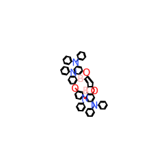 C1=C2Oc3cc(N(c4ccccc4)c4ccccc4)cc4c3B3C2=CC2B5c6c(cccc6N(c6ccccc6)c6cc(N(c7ccccc7)c7ccccc7)cc(c65)OC12)Oc1cccc(c13)N4c1ccccc1